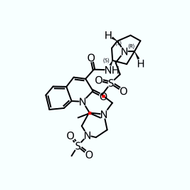 CC(C)n1c(=O)c(C(=O)N[C@@H]2C[C@H]3CC[C@@H](C2)N3CCS(=O)(=O)CCN2CCN(S(C)(=O)=O)CC2)cc2ccccc21